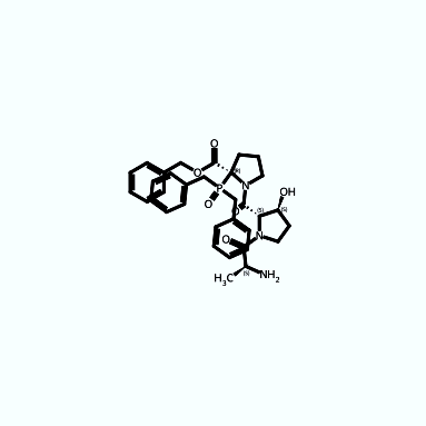 C[C@H](N)C(=O)N1CC[C@H](O)[C@H]1C(=O)N1CCC[C@]1(C(=O)OCc1ccccc1)P(=O)(Cc1ccccc1)Cc1ccccc1